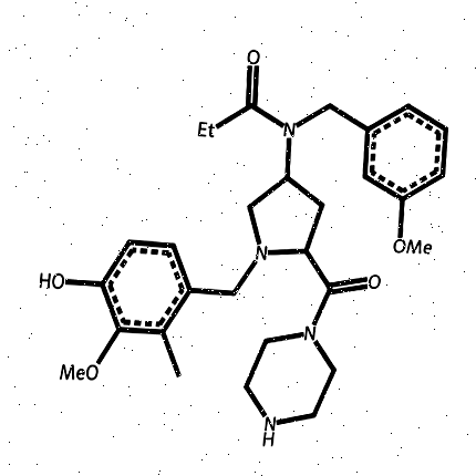 CCC(=O)N(Cc1cccc(OC)c1)C1CC(C(=O)N2CCNCC2)N(Cc2ccc(O)c(OC)c2C)C1